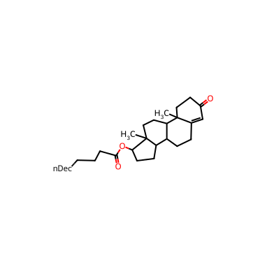 CCCCCCCCCCCCCC(=O)OC1CCC2C3CCC4=CC(=O)CCC4(C)C3CCC12C